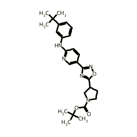 CC(C)(C)OC(=O)N1CCC(c2nc(-c3ccc(Nc4cccc(C(C)(C)C)c4)nc3)no2)C1